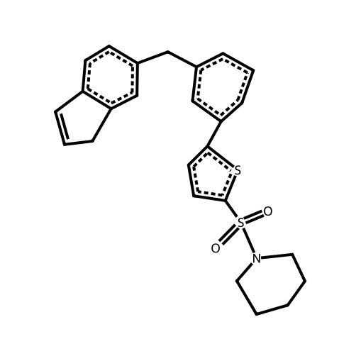 O=S(=O)(c1ccc(-c2cccc(Cc3ccc4c(c3)CC=C4)c2)s1)N1CCCCC1